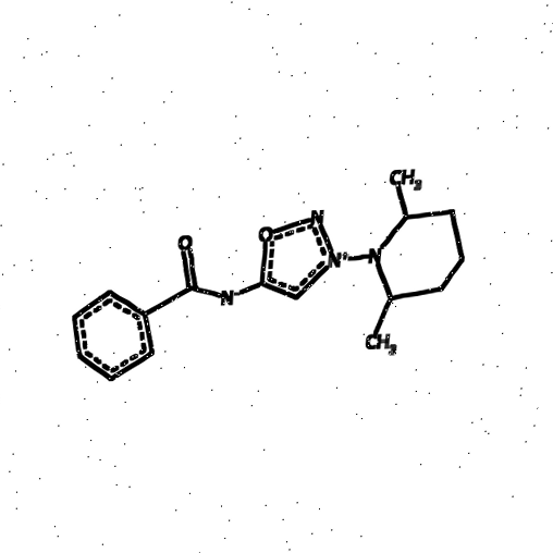 CC1CCCC(C)N1[n+]1cc([N-]C(=O)c2ccccc2)on1